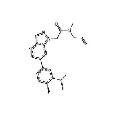 C=CCN(C)C(=O)Cn1ncc2ncc(-c3ccc(F)c(C(F)F)c3)cc21